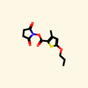 CCCOc1cc(C)c(C(=O)ON2C(=O)CCC2=O)s1